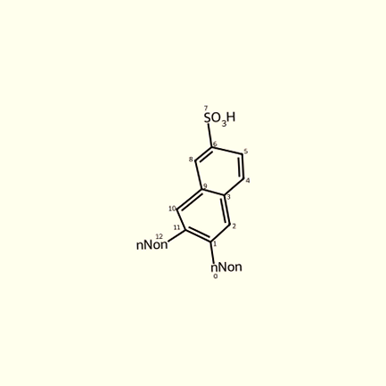 CCCCCCCCCc1cc2ccc(S(=O)(=O)O)cc2cc1CCCCCCCCC